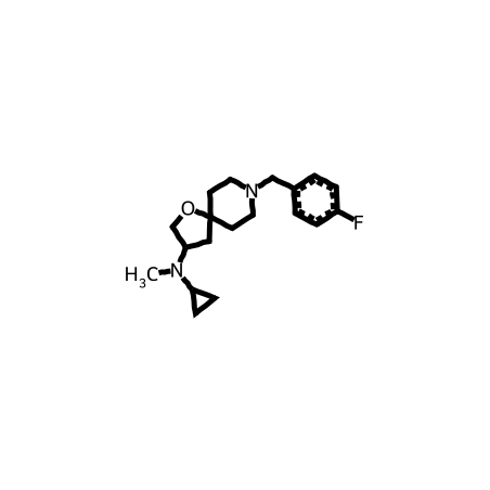 CN(C1CC1)C1COC2(CCN(Cc3ccc(F)cc3)CC2)C1